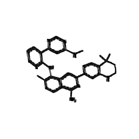 CNc1cc(-c2cccnc2Nc2c(C)ccc3c(N)nc(-c4ccc5c(c4)NCCC5(C)C)cc23)ncn1